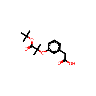 CC(C)(C)OC(=O)C(C)(C)Oc1cccc(CC(=O)O)c1